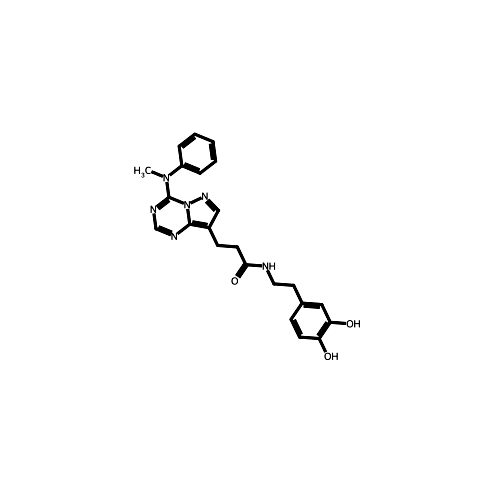 CN(c1ccccc1)c1ncnc2c(CCC(=O)NCCc3ccc(O)c(O)c3)cnn12